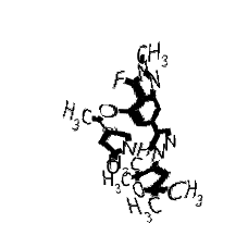 CC(Oc1cc(-c2cnn(C3CC(C)(C)OC3(C)C)c2)cc2nn(C)c(F)c12)[C@H]1CNC(=O)C1